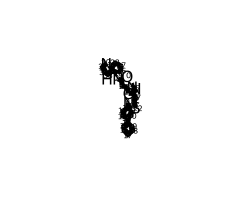 O=C(Cc1nnc(Cc2nc3ccc(-c4ccccc4)cc3s2)o1)NC1CCCc2ncccc21